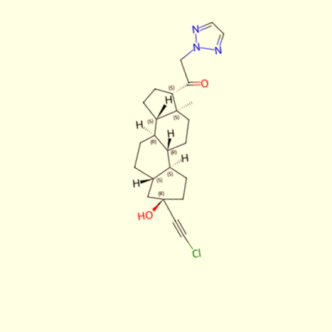 C[C@]12CC[C@H]3[C@@H](CC[C@H]4C[C@@](O)(C#CCl)CC[C@@H]43)[C@@H]1CC[C@@H]2C(=O)Cn1nccn1